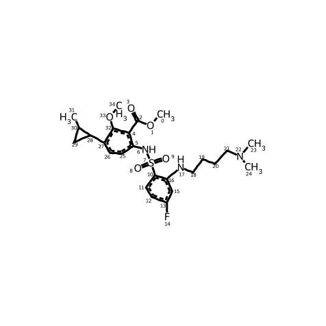 COC(=O)c1c(NS(=O)(=O)c2ccc(F)cc2NCCCCN(C)C)ccc(C2CC2C)c1OC